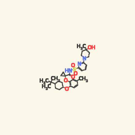 Cc1ccc(OC2CCC(C(C)(C)C)CC2)c(OC2(C(=O)NS(=O)(=O)c3cccc(N4CCC(C)(O)CC4)n3)CC2)c1